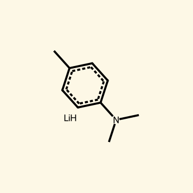 Cc1ccc(N(C)C)cc1.[LiH]